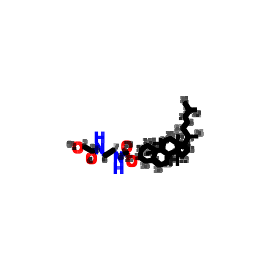 COCC(=O)NCCNC(=O)O[C@H]1CC[C@@]2(C)C(=CC[C@H]3[C@@H]4CC[C@H]([C@H](C)CCCC(C)C)[C@@]4(C)CC[C@@H]32)C1